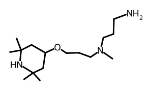 CN(CCCN)CCCOC1CC(C)(C)NC(C)(C)C1